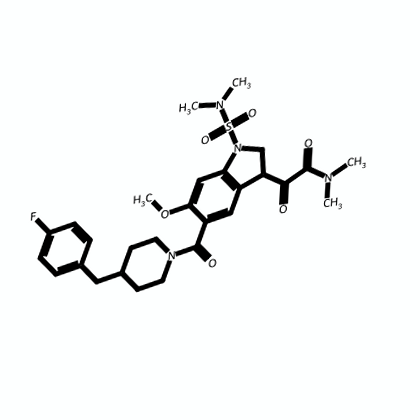 COc1cc2c(cc1C(=O)N1CCC(Cc3ccc(F)cc3)CC1)C(C(=O)C(=O)N(C)C)CN2S(=O)(=O)N(C)C